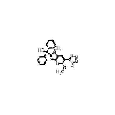 COc1nc2nc(C(O)(c3ccccc3)c3ccccc3)n(C)c2cc1-c1nnn[nH]1